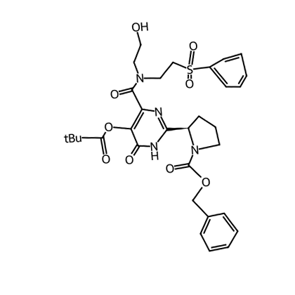 CC(C)(C)C(=O)Oc1c(C(=O)N(CCO)CCS(=O)(=O)c2ccccc2)nc([C@H]2CCCN2C(=O)OCc2ccccc2)[nH]c1=O